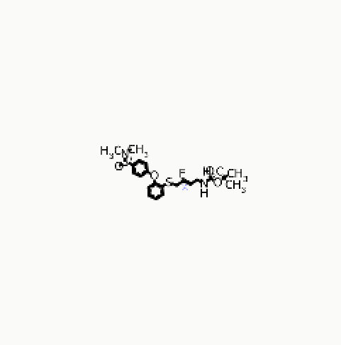 CN(C)[S+]([O-])c1ccc(Oc2ccccc2SC/C(F)=C/CNC(=O)OC(C)(C)C)cc1